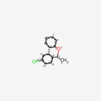 CC(Oc1cc[c]cc1)c1ccc(Cl)cc1